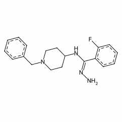 NN=C(NC1CCN(Cc2ccccc2)CC1)c1ccccc1F